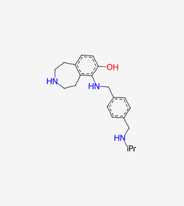 CC(C)NCc1ccc(CNc2c(O)ccc3c2CCNCC3)cc1